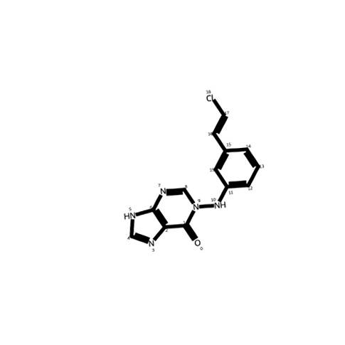 O=c1c2nc[nH]c2ncn1Nc1cccc(C=CCl)c1